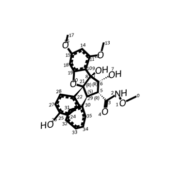 CONC(=O)[C@H]1[C@@H](O)[C@@]2(O)c3c(OC)cc(OC)cc3O[C@@]2(c2ccc(O)cc2)[C@@H]1c1ccccc1